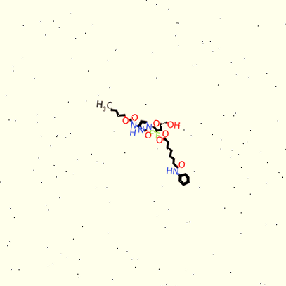 CCCCCOC(=O)Nc1ccn([C@@H]2O[C@H](CO)[C@@H](OC(=O)CCCCCCC(=O)Nc3ccccc3)C2(F)F)c(=O)n1